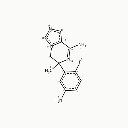 CC1(c2cc(N)ccc2F)Cn2cncc2C(N)=N1